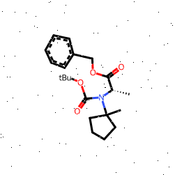 C[C@@H](C(=O)OCc1ccccc1)N(C(=O)OC(C)(C)C)C1(C)CCCC1